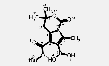 Cc1c(B(O)O)c(C(=O)OC(C)(C)C)c2n1C(=O)OC(C)(C)C2